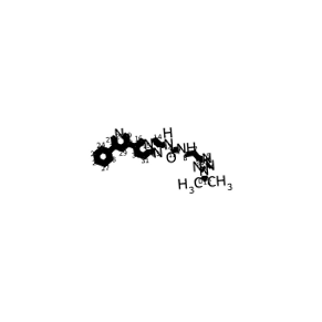 CC(C)n1nnc(CCNC(=O)Nc2cn3cc(-c4cncc(-c5ccccc5)c4)ccc3n2)n1